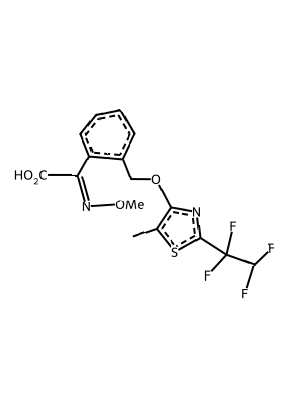 CO/N=C(/C(=O)O)c1ccccc1COc1nc(C(F)(F)C(F)F)sc1C